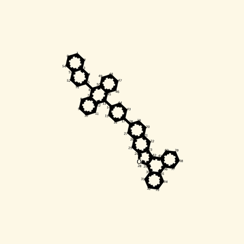 c1ccc2cc(-c3c4ccccc4c(-c4ccc(-c5ccc6cc7c(cc6c5)oc5c6ccccc6c6ccccc6c75)cc4)c4ccccc34)ccc2c1